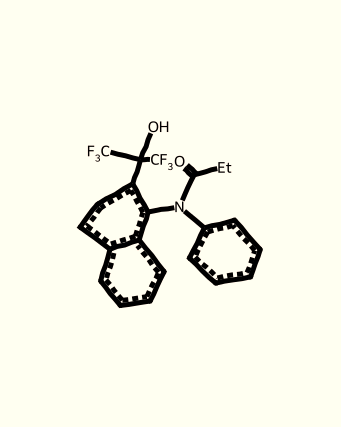 CCC(=O)N(c1ccccc1)c1c(C(O)(C(F)(F)F)C(F)(F)F)ccc2ccccc12